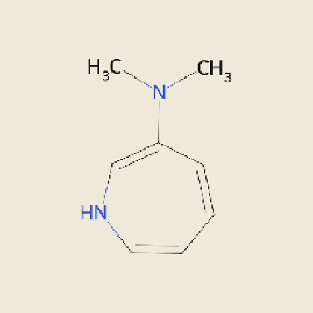 CN(C)C1=CNC=CC=C1